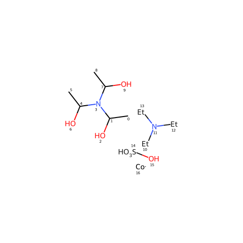 CC(O)N(C(C)O)C(C)O.CCN(CC)CC.O=S(=O)(O)O.[Co]